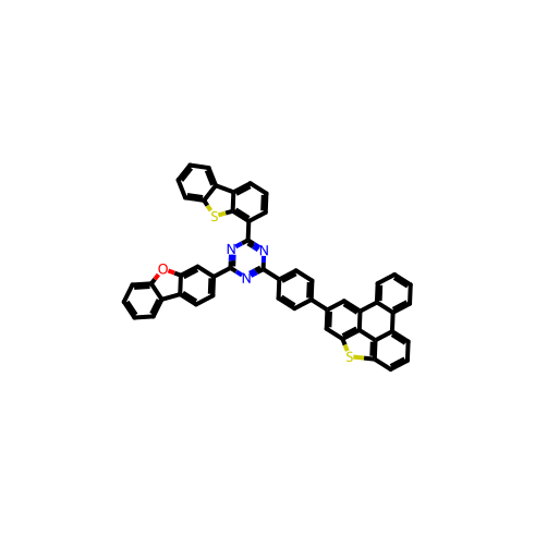 c1ccc2c(c1)oc1cc(-c3nc(-c4ccc(-c5cc6sc7cccc8c9ccccc9c(c5)c6c78)cc4)nc(-c4cccc5c4sc4ccccc45)n3)ccc12